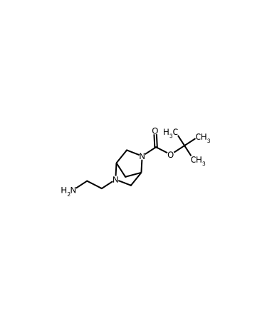 CC(C)(C)OC(=O)N1CC2CC1CN2CCN